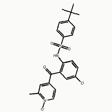 Cc1cc(C(=O)c2cc(Cl)ccc2NS(=O)(=O)c2ccc(C(C)(C)C)cc2)cc[n+]1[O-]